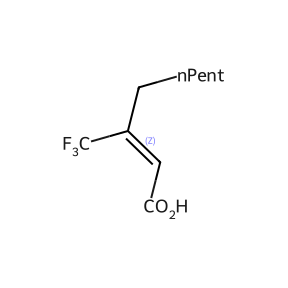 CCCCCC/C(=C/C(=O)O)C(F)(F)F